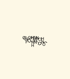 C=CC(=O)Nc1cccc(-c2nc(Nc3cc(O)c(N4CCOCC4)c(F)c3)nc3[nH]nc(Cl)c23)c1